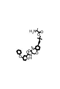 C[C@H](N)C(=O)OCC(C)(C)C#Cc1ccc2c(c1)N(C)C(=O)[C@H](NC(=O)c1cc(Oc3ccccc3)ccn1)CO2